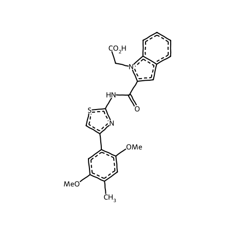 COc1cc(-c2csc(NC(=O)c3cc4ccccc4n3CC(=O)O)n2)c(OC)cc1C